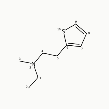 CCN(C)CCc1cccs1